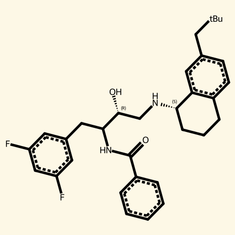 CC(C)(C)Cc1ccc2c(c1)[C@@H](NC[C@@H](O)C(Cc1cc(F)cc(F)c1)NC(=O)c1ccccc1)CCC2